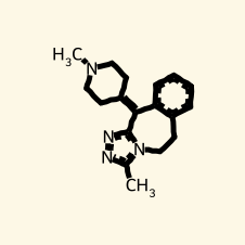 Cc1nnc2n1CCc1ccccc1C2=C1CCN(C)CC1